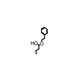 CCCC(O)OCCc1ccccc1